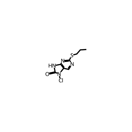 CCCSc1ncc2c(n1)[nH]c(=O)n2Cl